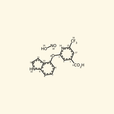 O=C(O)c1cc(Oc2cccc3[nH]ccc23)nc(C(F)(F)F)c1.O=NO